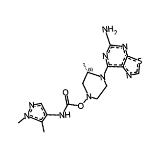 Cc1c(NC(=O)ON2CCN(c3nc(N)nc4scnc34)[C@@H](C)C2)cnn1C